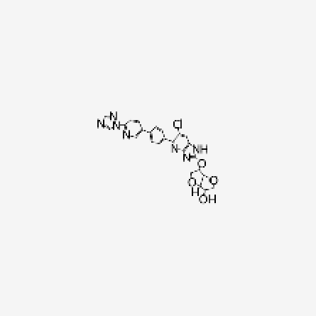 O[C@@H]1COC2[C@H](Oc3nc4nc(-c5ccc(-c6ccc(-n7cncn7)nc6)cc5)c(Cl)cc4[nH]3)CO[C@@H]21